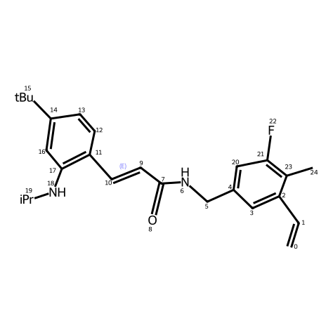 C=Cc1cc(CNC(=O)/C=C/c2ccc(C(C)(C)C)cc2NC(C)C)cc(F)c1C